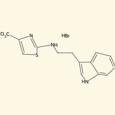 Br.O=C(O)c1csc(NCCc2c[nH]c3ccccc23)n1